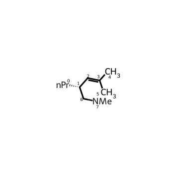 CCC[C@H](C=C(C)C)CNC